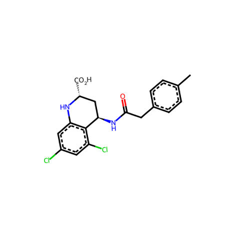 Cc1ccc(CC(=O)N[C@@H]2C[C@@H](C(=O)O)Nc3cc(Cl)cc(Cl)c32)cc1